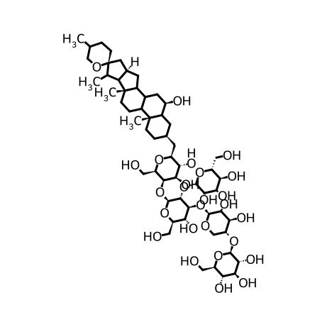 CC1CC[C@]2(C[C@H]3CC4C5C[C@@H](O)C6C[C@@H](C[C@@H]7O[C@H](CO)[C@H](O[C@@H]8O[C@H](CO)[C@@H](O)[C@H](O[C@@H]9OC[C@@H](O[C@@H]%10O[C@H](CO)[C@@H](O)[C@H](O)[C@H]%10O)[C@H](O)[C@H]9O)[C@H]8O[C@@H]8O[C@H](CO)[C@@H](O)[C@H](O)[C@H]8O)[C@H](O)[C@H]7O)CC[C@]6(C)C5CC[C@]4(C)C3C2C)OC1